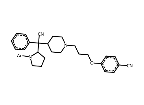 CC(=O)N1CCCC1C(C#N)(c1ccccc1)C1CCN(CCCOc2ccc(C#N)cc2)CC1